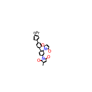 CCCc1ccc(-c2ccc(-c3ccc(N4C(=O)C=C(C)C4=O)cc3N3C(=O)C=CC3=O)cc2)cc1